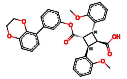 COc1ccccc1[C@@H]1[C@H](C(=O)O)[C@@H](c2ccccc2OC)[C@H]1C(=O)Oc1cccc(-c2cccc3c2OCCO3)c1